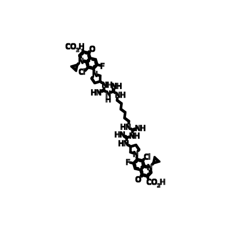 N=C(NCCCCCCNC(=N)NC(=N)NC1CCN(c2c(F)cc3c(=O)c(C(=O)O)cn(C4CC4)c3c2Cl)C1)NC(=N)NC1CCN(c2c(F)cc3c(=O)c(C(=O)O)cn(C4CC4)c3c2Cl)C1